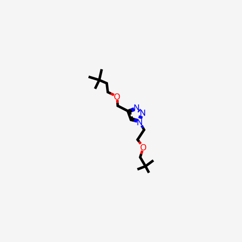 CC(C)(C)CCOCc1cn(CCOCC(C)(C)C)nn1